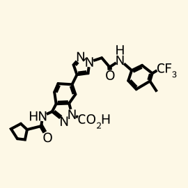 Cc1ccc(NC(=O)Cn2cc(-c3ccc4c(NC(=O)C5CCCC5)nn(C(=O)O)c4c3)cn2)cc1C(F)(F)F